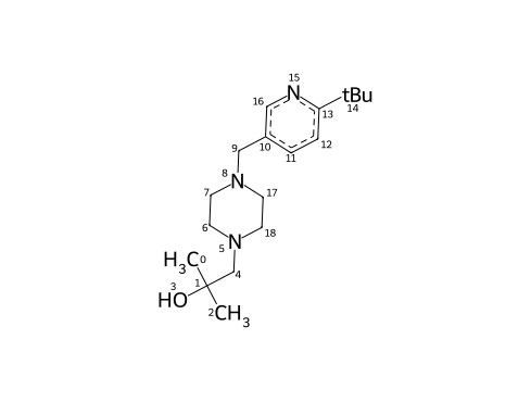 CC(C)(O)CN1CCN(Cc2ccc(C(C)(C)C)nc2)CC1